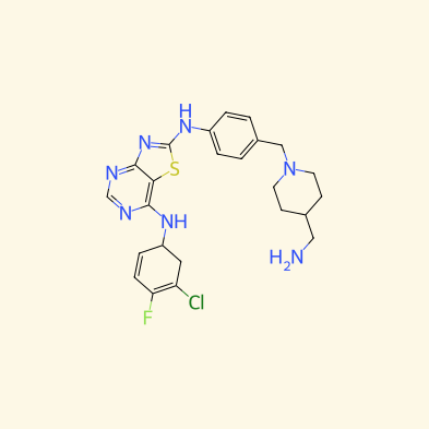 NCC1CCN(Cc2ccc(Nc3nc4ncnc(NC5C=CC(F)=C(Cl)C5)c4s3)cc2)CC1